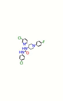 O=C(Nc1ccc(Cl)cc1)N[C@@H]1CCN(c2ccc(F)cc2)C[C@H]1c1ccc(Cl)cn1